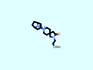 CCOC(=O)N1C2C=C(N3CCC4(CC3)CC(=O)N(CCOC)C4)CC1CC2